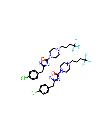 FC(F)(F)CCCN1CCN(c2nc(Cc3ccc(Cl)cc3)no2)CC1.FC(F)(F)CCCN1CCN(c2nc(Cc3ccc(Cl)cc3)no2)CC1